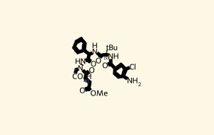 COC(=O)/C=C/C(=O)N(CC(=O)O)NC(=O)C(NC(=O)[C@@H](NC(=O)c1ccc(N)c(Cl)c1)C(C)(C)C)c1ccccc1